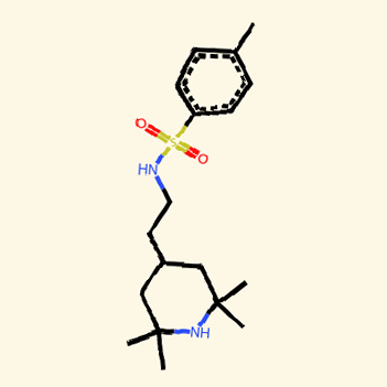 Cc1ccc(S(=O)(=O)NCCC2CC(C)(C)NC(C)(C)C2)cc1